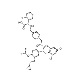 O=C(Cc1ccc(CNC(C(=O)O)c2ccccc2F)cc1)OC(Cc1c(Cl)c[n+]([O-])cc1Cl)c1ccc(OC(F)F)c(OCC2CC2)c1